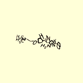 CN(C)CCCOc1ccc(CCc2c(N)cc3nc(-c4ccco4)nn3c2N)cc1